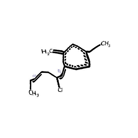 C=c1cc(C)cc/c1=C(Cl)/C=C\C